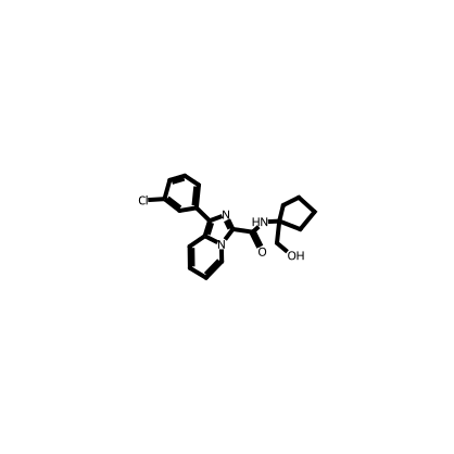 O=C(NC1(CO)CCCC1)c1nc(-c2cccc(Cl)c2)c2ccccn12